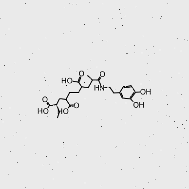 CCC(CC(CCC(CC(C)C(=O)NCCc1ccc(O)c(O)c1)C(=O)O)C(=O)O)C(=O)O